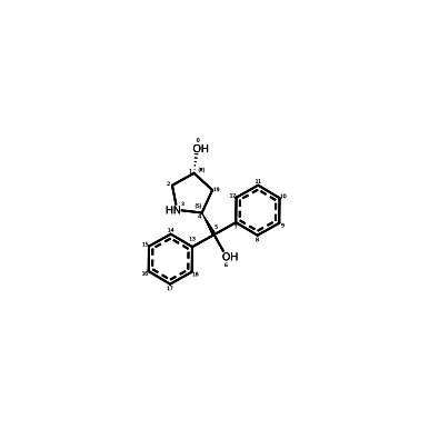 O[C@H]1CN[C@H](C(O)(c2ccccc2)c2ccccc2)C1